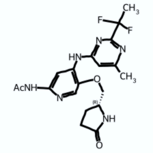 CC(=O)Nc1cc(Nc2cc(C)nc(C(C)(F)F)n2)c(OC[C@H]2CCC(=O)N2)cn1